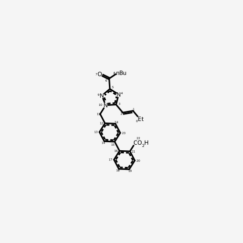 CCC=Cc1nc(C(=O)CCCC)nn1Cc1ccc(-c2ccccc2C(=O)O)cc1